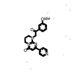 COc1cccc(C(=O)CN2CCCn3c2nc(-c2ccncc2)cc3=O)c1